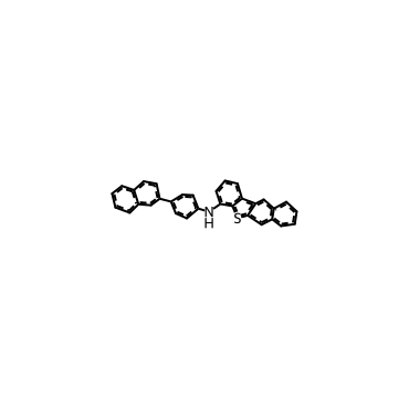 c1ccc2cc(-c3ccc(Nc4cccc5c4sc4cc6ccccc6cc45)cc3)ccc2c1